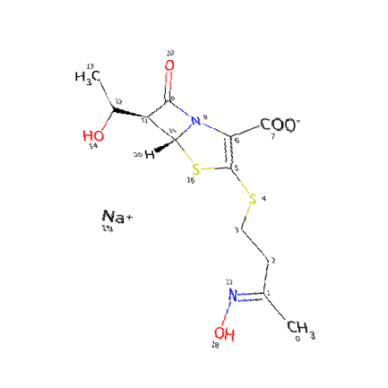 CC(CCSC1=C(C(=O)[O-])N2C(=O)[C@H](C(C)O)[C@H]2S1)=NO.[Na+]